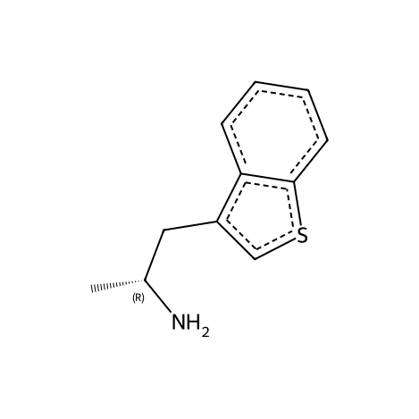 C[C@@H](N)Cc1csc2ccccc12